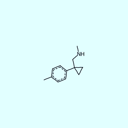 CNCC1(c2ccc(C)cc2)CC1